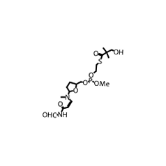 COP(OCCSC(=O)C(C)(C)CO)OCC1CCC(N(C)/C=C\C(=O)NC=O)O1